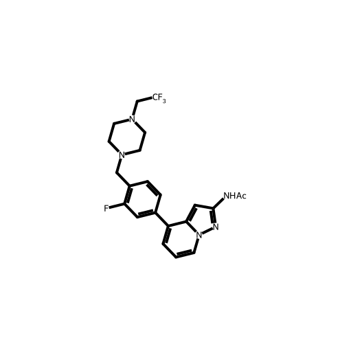 CC(=O)Nc1cc2c(-c3ccc(CN4CCN(CC(F)(F)F)CC4)c(F)c3)cccn2n1